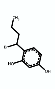 CCCC(Br)c1ccc(O)cc1O